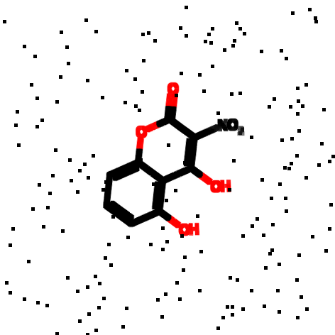 O=c1oc2cccc(O)c2c(O)c1[N+](=O)[O-]